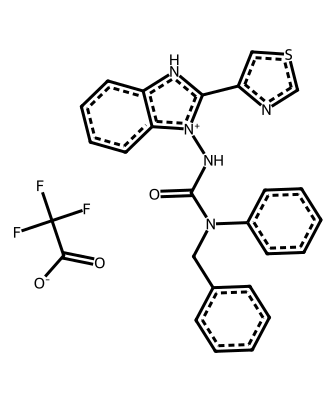 O=C(N[n+]1c(-c2cscn2)[nH]c2ccccc21)N(Cc1ccccc1)c1ccccc1.O=C([O-])C(F)(F)F